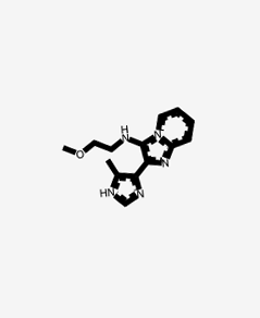 COCCNc1c(-c2nc[nH]c2C)nc2ccccn12